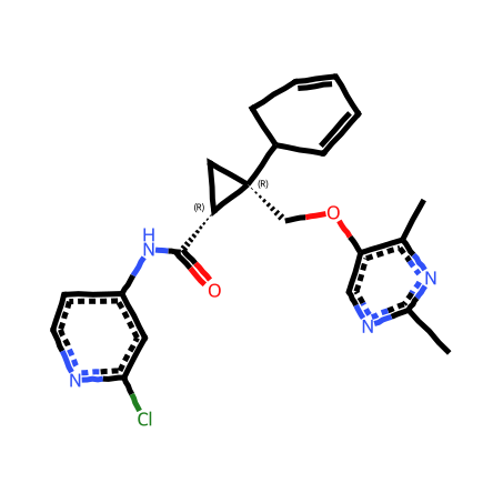 Cc1ncc(OC[C@@]2(C3C=CC=CC3)C[C@H]2C(=O)Nc2ccnc(Cl)c2)c(C)n1